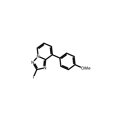 COc1ccc(-c2cccn3nc(I)nc23)cc1